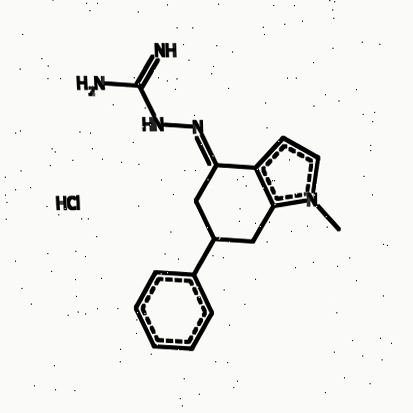 Cl.Cn1ccc2c1CC(c1ccccc1)CC2=NNC(=N)N